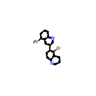 CC(C)c1cccc2ncc(-c3ccc4ncccc4c3Br)cc12